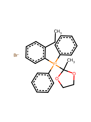 CCc1ccccc1[P+](c1ccccc1)(c1ccccc1)C1(C)OCCO1.[Br-]